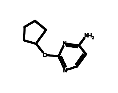 Nc1ccnc(OC2CCCC2)n1